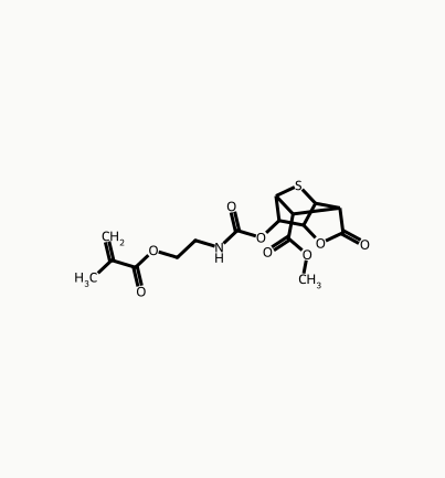 C=C(C)C(=O)OCCNC(=O)OC1C2OC(=O)C3C2SC1C3C(=O)OC